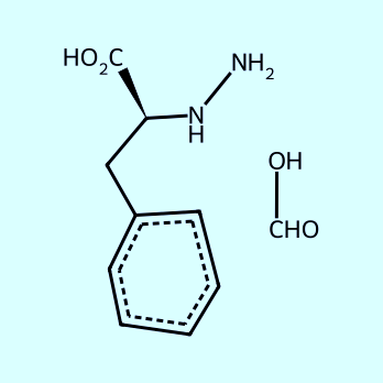 NN[C@@H](Cc1ccccc1)C(=O)O.O=CO